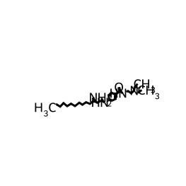 CCCCCCCCCCCC(N)CCNc1ccc(C(=O)NCCN(CC)CC)cc1